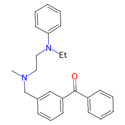 CCN(CCN(C)Cc1cccc(C(=O)c2ccccc2)c1)c1ccccc1